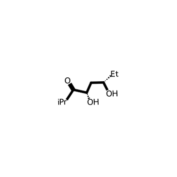 CC[C@H](O)C[C@H](O)C(=O)C(C)C